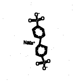 O=S(=O)([O-])c1ccc(-c2ccc(S(=O)(=O)[O-])cc2)cc1.[Na+].[Na+]